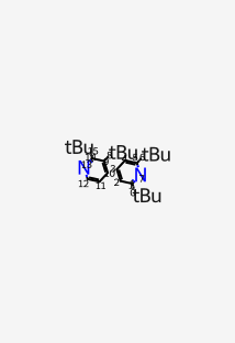 CC(C)(C)c1cccc(C(C)(C)C)n1.CC(C)(C)c1cccnc1C(C)(C)C